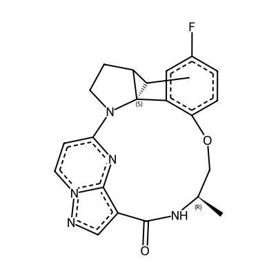 CC1C2CCN3c4ccn5ncc(c5n4)C(=O)N[C@H](C)COc4ccc(F)cc4[C@]123